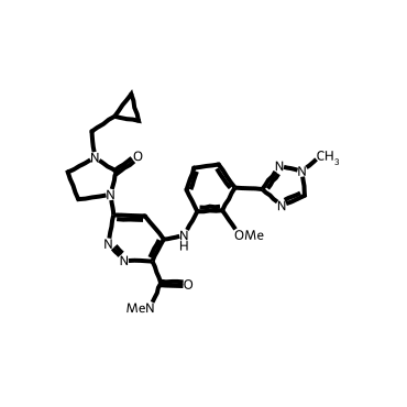 CNC(=O)c1nnc(N2CCN(CC3CC3)C2=O)cc1Nc1cccc(-c2ncn(C)n2)c1OC